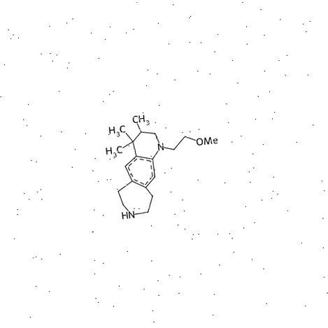 COCCN1CC(C)C(C)(C)c2cc3c(cc21)CCNCC3